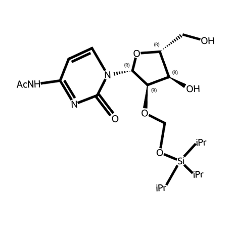 CC(=O)Nc1ccn([C@@H]2O[C@H](CO)[C@@H](O)[C@H]2OCO[Si](C(C)C)(C(C)C)C(C)C)c(=O)n1